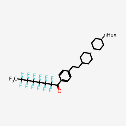 CCCCCC[C@H]1CC[C@H](C2CCC(CCc3ccc(C(=O)C(F)(F)C(F)(F)C(F)(F)C(F)(F)C(F)(F)C(F)(F)C(F)(F)F)cc3)CC2)CC1